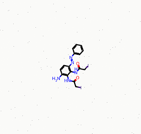 Nc1ccc(N=Nc2ccccc2)c(NC(=O)CI)c1NC(=O)CI